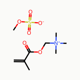 C=C(C)C(=O)OC[N+](C)(C)C.COS(=O)(=O)[O-]